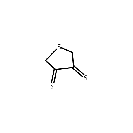 S=C1CSCC1=S